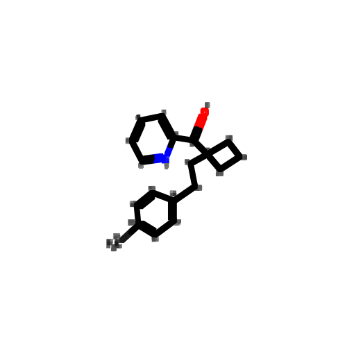 O=C(c1ccccn1)C1(CCc2ccc(C(F)(F)F)cc2)CCC1